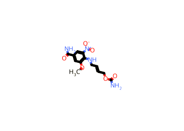 COc1cc(C(N)=O)cc([N+](=O)[O-])c1NC/C=C/COC(N)=O